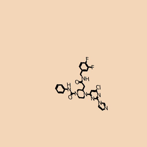 O=C(CC1CN(C(=O)Nc2ccccc2)CCN1c1cc(Cl)nc(-n2ccnc2)n1)NCc1ccc(F)c(F)c1